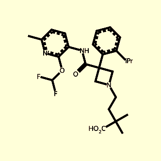 Cc1ccc(NC(=O)C2(c3ccccc3C(C)C)CN(CCC(C)(C)C(=O)O)C2)c(OC(F)F)n1